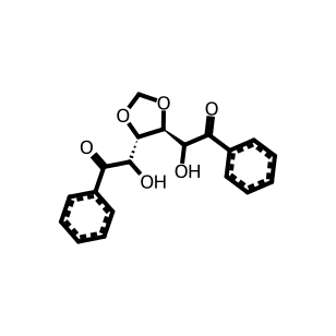 O=C(c1ccccc1)C(O)[C@@H]1OCO[C@H]1C(O)C(=O)c1ccccc1